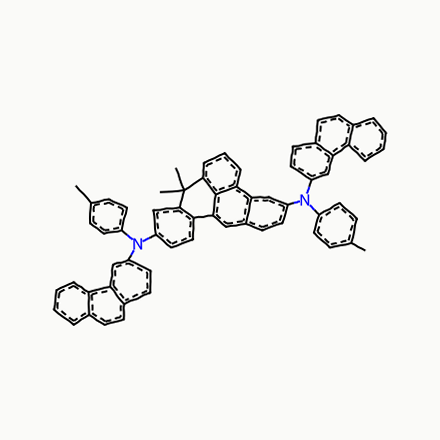 Cc1ccc(N(c2ccc3c(c2)C(C)(C)c2cccc4c2c-3cc2ccc(N(c3ccc(C)cc3)c3ccc5ccc6ccccc6c5c3)cc24)c2ccc3ccc4ccccc4c3c2)cc1